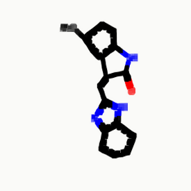 COc1ccc2c(c1)/C(=C/c1nc3ccccc3[nH]1)C(=O)N2